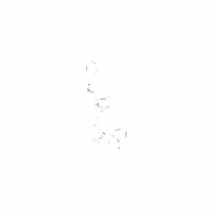 Cc1ccc(C)c(NC(=N)N2CCC(c3nc(C4=NOC(c5ccccc5)C4)cs3)CC2)c1